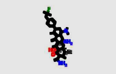 C=C(N)C1=C(C)[C@@H](CC)[C@]2(C)C[C@]3(N)Cc4c(N(C)C)cc(-c5ccc(CC(C)(C)F)cc5)c(C)c4C(=C)C3=C(C)[C@]2(O)C1=O